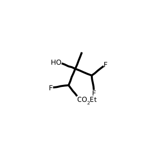 CCOC(=O)C(F)C(C)(O)C(F)F